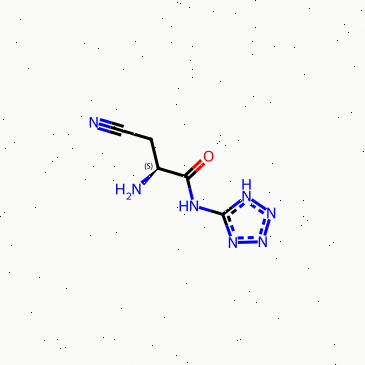 N#CC[C@H](N)C(=O)Nc1nnn[nH]1